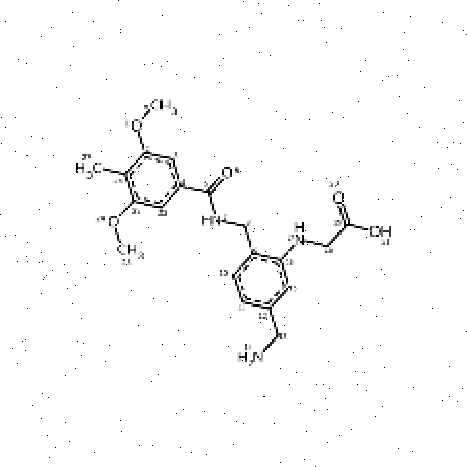 COc1cc(C(=O)NCc2ccc(CN)cc2NCC(=O)O)cc(OC)c1C